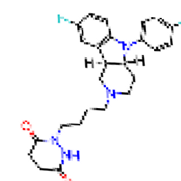 O=C1CCC(=O)N(CCCCN2CC[C@@H]3[C@@H](C2)c2cc(F)ccc2N3c2ccc(F)cc2)N1